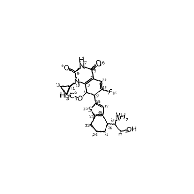 COC1c2c(c(=O)[nH]c(=O)n2C2CC2)C=C(F)C1c1cc2c(s1)CCCC2C(N)CO